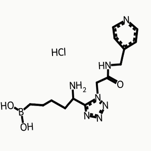 Cl.NC(CCCCB(O)O)c1nnnn1CC(=O)NCc1ccncc1